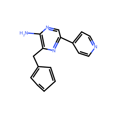 Nc1ncc(-c2ccncc2)nc1Cc1ccccc1